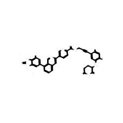 CC(C)c1cc(-c2cccc3cc(-c4ccc(C(=O)NCC#Cc5cc(NC6CCC(=O)NC6=O)c(F)cc5F)nc4)ncc23)cc2c1n(C)c(=O)n2C